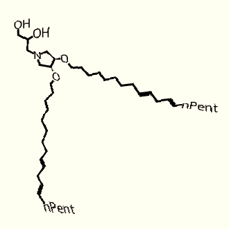 CCCCCC=CCC=CCCCCCCCCO[C@@H]1CN(CC(O)CO)C[C@H]1OCCCCCCCCC=CCC=CCCCCC